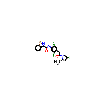 C[C@@H]1C[C@H](F)CN1C(=O)Cc1cc(Cl)c(NC(=O)c2nsc3ccccc23)cc1F